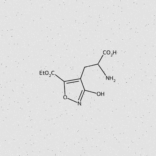 CCOC(=O)c1onc(O)c1CC(N)C(=O)O